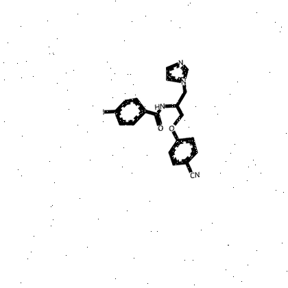 N#Cc1ccc(OCC(Cn2ccnc2)NC(=O)c2ccc(I)cc2)cc1